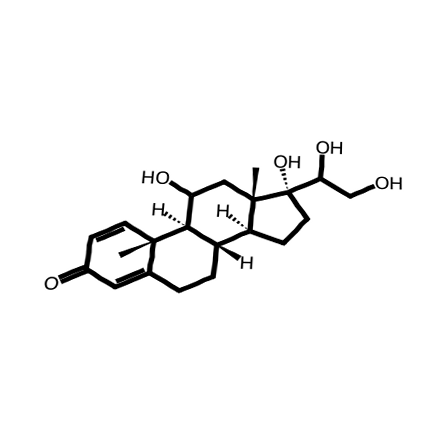 C[C@]12C=CC(=O)C=C1CC[C@@H]1[C@@H]2C(O)C[C@@]2(C)[C@H]1CC[C@]2(O)C(O)CO